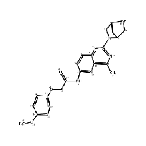 Cc1nc(N2CC3CC2CN3)nc2ccc(NC(=O)COc3ccc(OC(F)(F)F)cc3)nc12